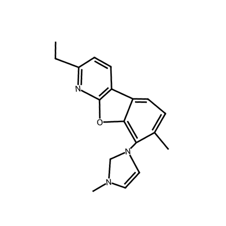 CCc1ccc2c(n1)oc1c(N3C=CN(C)C3)c(C)ccc12